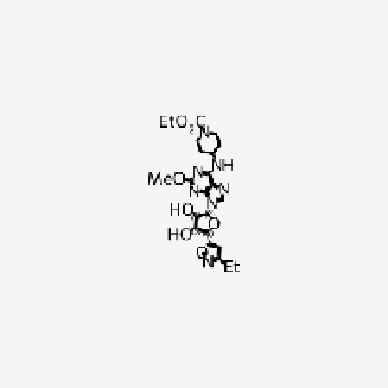 CCOC(=O)N1CCC(Nc2nc(OC)nc3c2ncn3[C@@H]2O[C@H](c3cc(CC)no3)[C@@H](O)[C@H]2O)CC1